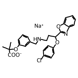 CC(C)(Oc1cccc(CNCCC(Oc2ccc(Cl)cc2)c2nc3ccccc3o2)c1)C(=O)[O-].[Na+]